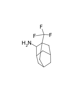 NC1C2CC3CC(C2)CC1(C(F)(F)F)C3